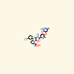 Cc1cc(Oc2ccc(C(=O)N[C@H](C)C(=O)N3[C@H](C4(C)C=C(Cl)C=CC4)CC[C@@H]3C(C)(C)O)nc2C)c(=O)[nH]n1